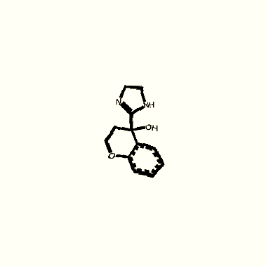 OC1(C2=NCCN2)CCOc2ccccc21